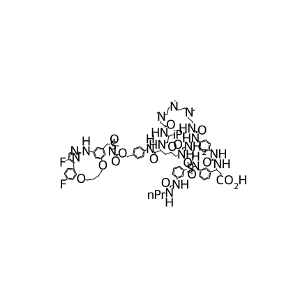 CCCNC(=O)Nc1cccc(S(=O)(=O)Nc2cccc(C(CC(=O)O)NC(=O)Nc3ccc(NC(=O)NCCN(C)CCN(C)CCN(C)CC(=O)NC(C(=O)NC(CCCNC(N)=O)C(=O)Nc4ccc(COC(=O)N=S(C)(=O)Cc5cc6cc(c5)OCCCCOc5cc(F)ccc5-c5nc(ncc5F)N6)cc4)C(C)C)cc3)c2)c1